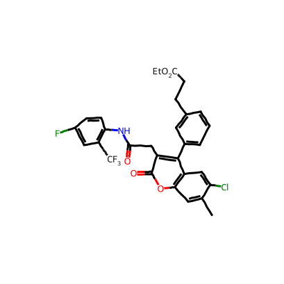 CCOC(=O)CCc1cccc(-c2c(CC(=O)Nc3ccc(F)cc3C(F)(F)F)c(=O)oc3cc(C)c(Cl)cc23)c1